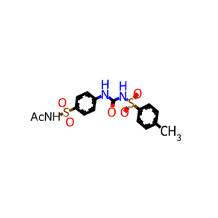 CC(=O)NS(=O)(=O)c1ccc(NC(=O)NS(=O)(=O)c2ccc(C)cc2)cc1